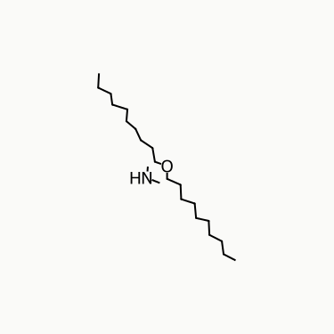 CCCCCCCCCCOCCCCCCCCCC.CNC